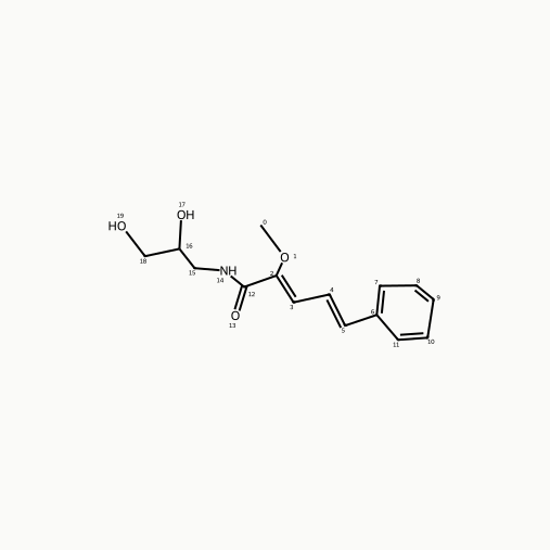 COC(=CC=Cc1ccccc1)C(=O)NCC(O)CO